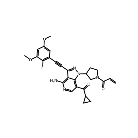 C=CC(=O)N1CCC(n2nc(C#Cc3cc(OC)cc(OC)c3F)c3c(N)ncc(C(=O)C4CC4)c32)C1